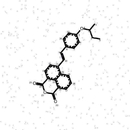 CCC(C)Oc1ccc(/C=C/c2ccc3c4c(cccc24)C(=O)OC3=O)cc1